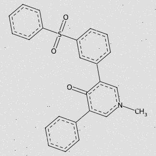 Cn1cc(-c2ccccc2)c(=O)c(-c2cccc(S(=O)(=O)c3ccccc3)c2)c1